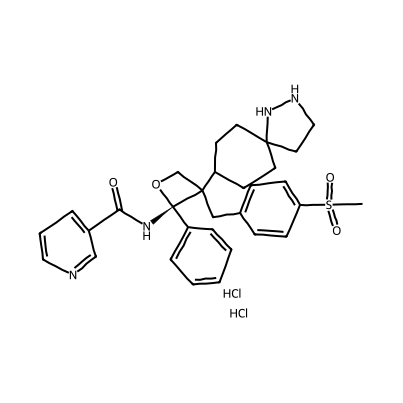 CS(=O)(=O)c1ccc(CC2(C3CCC4(CCNN4)CC3)CO[C@@]2(NC(=O)c2cccnc2)c2ccccc2)cc1.Cl.Cl